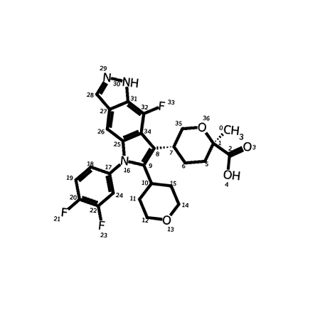 C[C@]1(C(=O)O)CC[C@H](c2c(C3CCOCC3)n(-c3ccc(F)c(F)c3)c3cc4cn[nH]c4c(F)c23)CO1